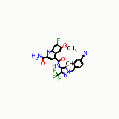 COc1cc2c(C(=O)Nc3c(C(F)(F)F)nn(Cc4ccc(C#N)cc4)c3C)cc(C(N)=O)nc2cc1F